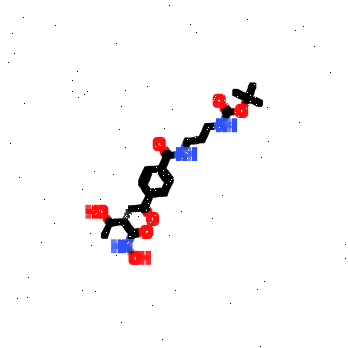 C[C@@H](O)[C@H](CC(=O)c1ccc(C(=O)NCCCNC(=O)OC(C)(C)C)cc1)C(=O)NO